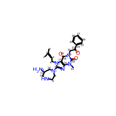 CC(C)=CCn1c(N2CCNCC(N)C2)nc2c1c(=O)n(CC(=O)c1ccccc1)c(=O)n2C